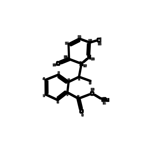 CC(c1ccccc1C(=O)OC(C)(C)C)n1nc(Cl)ccc1=O